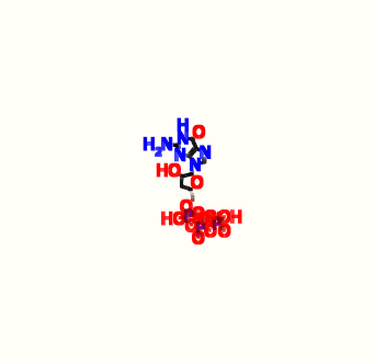 Nc1nc2c(ncn2[C@@H]2O[C@H](COP(=O)(O)OP(=O)(O)OP(=O)(O)O)CC2O)c(=O)[nH]1